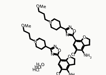 COCCCN1CCC(c2noc(-c3cc(Cl)c(N)c4c3OCC4)n2)CC1.COCCCN1CCC(c2noc(-c3cc(Cl)c(N)c4c3OCC4)n2)CC1.Cl.Cl.O